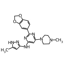 Cc1cc(Nc2cc(N3CCN(C)CC3)nc(-c3ccc4c(c3)OCO4)n2)n[nH]1